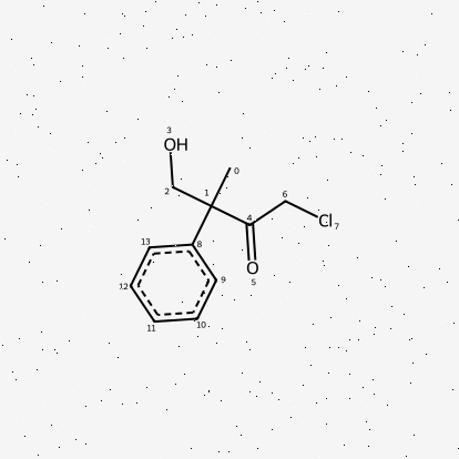 CC(CO)(C(=O)CCl)c1ccccc1